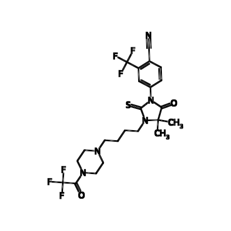 CC1(C)C(=O)N(c2ccc(C#N)c(C(F)(F)F)c2)C(=S)N1CCCCN1CCN(C(=O)C(F)(F)F)CC1